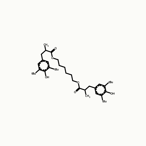 CC(Cc1cc(C(C)(C)C)c(O)c(C(C)(C)C)c1)C(=O)OCCCCCCOC(=O)C(C)Cc1cc(C(C)(C)C)c(O)c(C(C)(C)C)c1